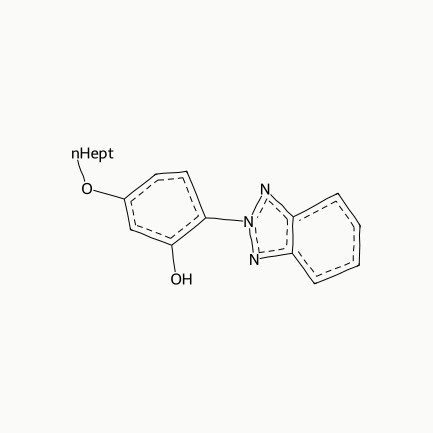 CCCCCCCOc1ccc(-n2nc3ccccc3n2)c(O)c1